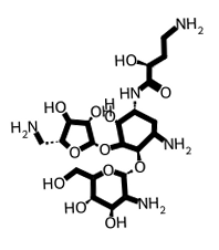 NCC[C@H](O)C(=O)N[C@@H]1CC(N)[C@@H](O[C@H]2OC(CO)[C@@H](O)[C@H](O)C2N)C(O[C@@H]2O[C@H](CN)C(O)[C@@H]2O)[C@@H]1O